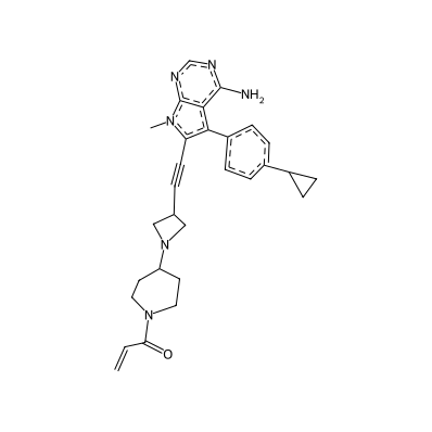 C=CC(=O)N1CCC(N2CC(C#Cc3c(-c4ccc(C5CC5)cc4)c4c(N)ncnc4n3C)C2)CC1